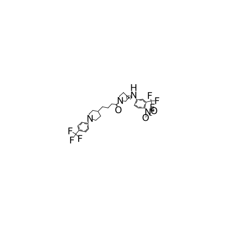 O=C(CCCC1CCN(c2ccc(C(F)(F)F)cc2)CC1)N1CC[C@H](Nc2ccc([N+](=O)[O-])c(C(F)(F)F)c2)C1